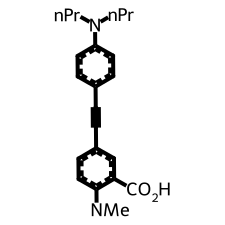 CCCN(CCC)c1ccc(C#Cc2ccc(NC)c(C(=O)O)c2)cc1